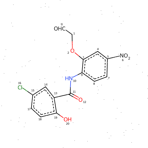 O=CCOc1cc([N+](=O)[O-])ccc1NC(=O)c1cc(Cl)ccc1O